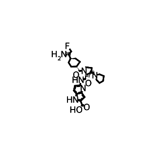 N[C@H](CF)[C@H]1CC[C@H](C(=O)N2CC[C@@H](N3CCCCC3)[C@H]2C(=O)Nc2ccc3[nH]c(C(=O)O)cc3n2)CC1